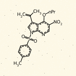 C=C(C)c1cn(S(=O)(=O)c2ccc(C)cc2)c2ncc([N+](=O)[O-])c(OCCC)c12